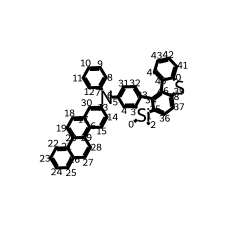 C[Si]1(C)c2cc(N(c3ccccc3)c3ccc4c(ccc5c6ccccc6ccc45)c3)ccc2-c2c1ccc1sc3ccccc3c21